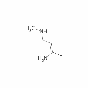 CNC/C=C(\N)F